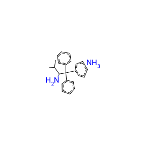 CC(C)C(N)C(c1ccccc1)(c1ccccc1)c1ccccc1.N